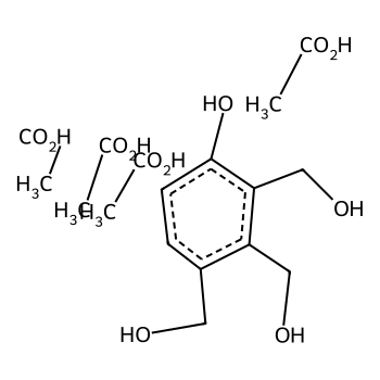 CC(=O)O.CC(=O)O.CC(=O)O.CC(=O)O.OCc1ccc(O)c(CO)c1CO